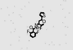 C=C(F)/C(CC(=O)c1cccs1)=N\NC(=O)c1c(F)cccc1F